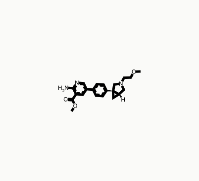 COCCN1C[C@@H]2C[C@]2(c2ccc(-c3cnc(N)c(C(=O)OC)c3)cc2)C1